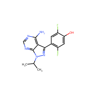 CC(C)n1nc(-c2cc(F)c(O)cc2F)c2c(N)ncnc21